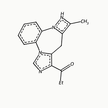 CCC(=O)c1ncn2c1Cc1c(C)[nH]n1-c1ccccc1-2